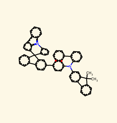 CC1(C)c2ccccc2-c2ccc(N(c3ccc(-c4ccc5c(c4)C4(c6ccccc6-5)c5ccccc5-n5c6ccccc6c6cccc4c65)cc3)c3ccccc3-c3ccccc3)cc21